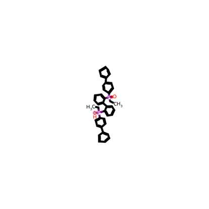 CCP(=O)(c1ccc(-c2ccccc2)cc1)c1ccccc1-c1ccccc1[PH](O)(CC)c1ccc(-c2ccccc2)cc1